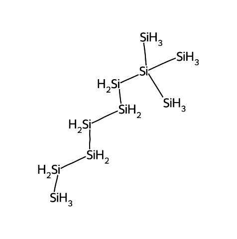 [SiH3][SiH2][SiH2][SiH2][SiH2][SiH2][Si]([SiH3])([SiH3])[SiH3]